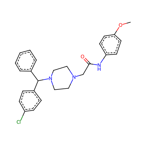 COc1ccc(NC(=O)CN2CCN(C(c3ccccc3)c3ccc(Cl)cc3)CC2)cc1